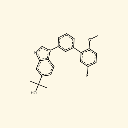 COc1ccc(F)cc1-c1cccc(-n2cnc3cc(C(C)(C)O)ccc32)c1